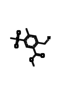 COC(=O)c1cc(S(C)(=O)=O)c(C)cc1CF